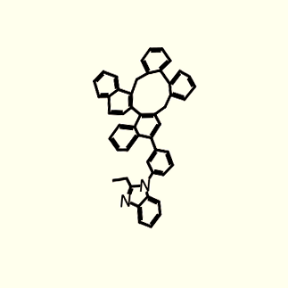 CCc1nc2ccccc2n1-c1cccc(-c2cc3c(c4ccccc24)-c2ccc4ccccc4c2Cc2ccccc2-c2ccccc2C3)c1